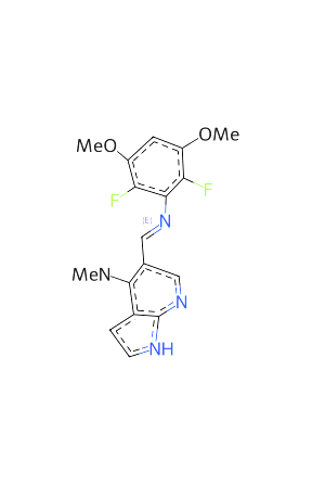 CNc1c(/C=N/c2c(F)c(OC)cc(OC)c2F)cnc2[nH]ccc12